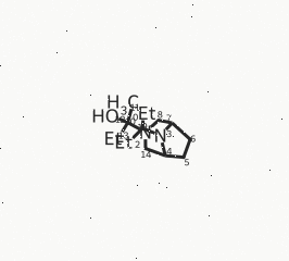 CCC(CC)N1C2CCC1CN(C(C)(O)CC)C2